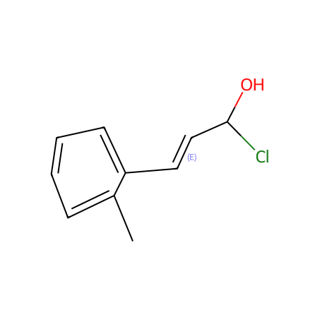 Cc1ccccc1/C=C/C(O)Cl